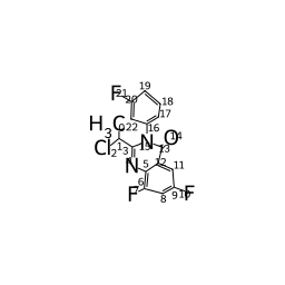 CC(Cl)c1nc2c(F)cc(F)cc2c(=O)n1-c1cccc(F)c1